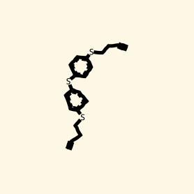 C#CCCSc1ccc(Sc2ccc(SCCC#C)cc2)cc1